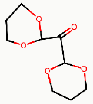 O=C(C1OCCCO1)C1OCCCO1